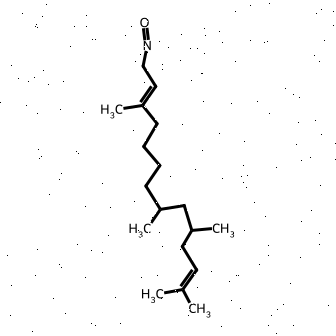 CC(C)=CCC(C)CC(C)CCCC/C(C)=C/CN=O